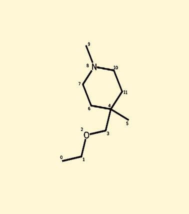 CCOCC1(C)CCN(C)CC1